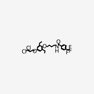 CCc1cc(OCC=C(Cl)Cl)cc(CC)c1OCCCCNC(=O)c1ccc(C(F)(F)F)cc1